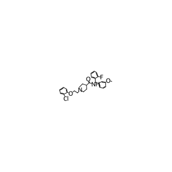 COc1cccc(C(NC(=O)C2CCN(CCOc3ccccc3Cl)CC2)c2ccccc2F)c1